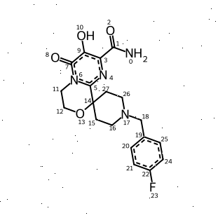 NC(=O)c1nc2n(c(=O)c1O)CCOC21CCN(Cc2ccc(F)cc2)CC1